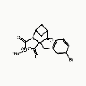 COC(=O)C1(Cc2cccc(Br)c2)C(=O)C2CC(C2)N1C(=O)OC(C)(C)C